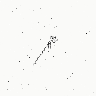 CCCCCCCCCCCCCCNCC(N)=O